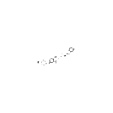 O=C(NCCNC(=O)C1Cc2cc(F)ccc2S1)c1c(F)cc(O[C@H]2CC[C@@H](C(=O)O)CC2)cc1F